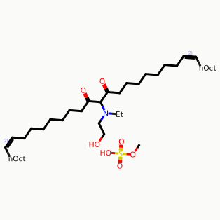 CCCCCCCC/C=C\CCCCCCCC(=O)C(C(=O)CCCCCCC/C=C\CCCCCCCC)N(CC)CCO.COS(=O)(=O)O